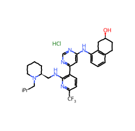 CC(C)CN1CCCC[C@H]1CNc1nc(C(F)(F)F)ccc1-c1cc(Nc2cccc3c2C[C@@H](O)CC3)ncn1.Cl